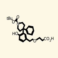 CC(C)(C)OC(=O)N1CCC(c2ccccc2)(c2cc(CCOCCC(=O)O)ccc2O)CC1